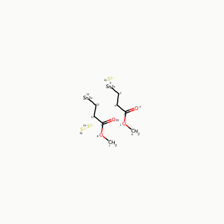 COC(=O)C[CH2][Sn+3].COC(=O)C[CH2][Sn+3].[S-2].[S-2].[S-2]